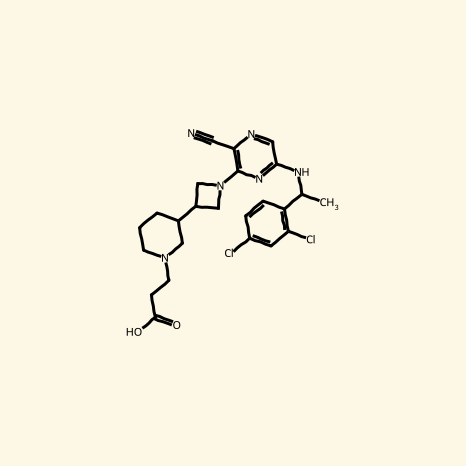 CC(Nc1cnc(C#N)c(N2CC(C3CCCN(CCC(=O)O)C3)C2)n1)c1ccc(Cl)cc1Cl